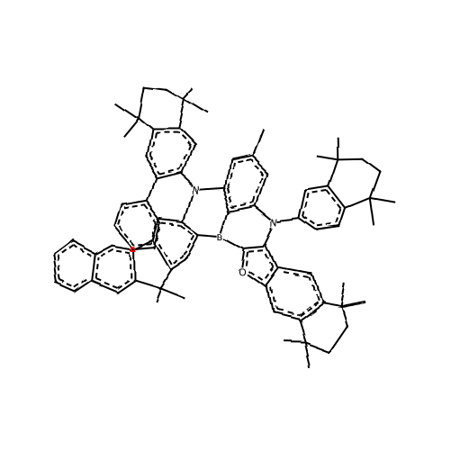 Cc1cc2c3c(c1)N(c1ccc4c(c1)C(C)(C)CCC4(C)C)c1c(oc4cc5c(cc14)C(C)(C)CCC5(C)C)B3c1cc3c(cc1N2c1cc2c(cc1-c1ccccc1)C(C)(C)CCC2(C)C)-c1cc2ccccc2cc1C3(C)C